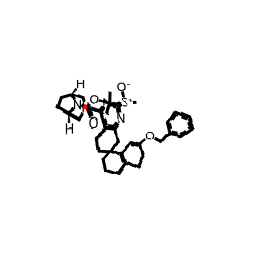 C[S+]([O-])c1nc2c(c(N3C[C@H]4CC[C@@H](C3)N4C(=O)OC(C)(C)C)n1)CCC1(CCCC3=C1C=C(OCc1ccccc1)CC3)C2